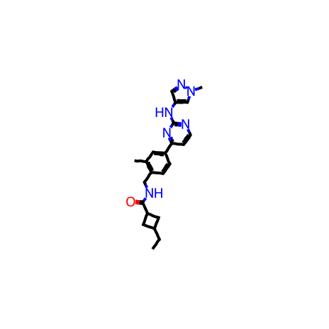 CCC1CC(C(=O)NCc2ccc(-c3ccnc(Nc4cnn(C)c4)n3)cc2C)C1